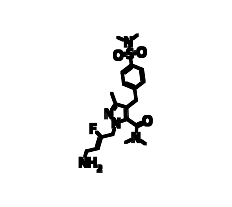 Cc1nn(C/C(F)=C/CN)c(C(=O)N(C)C)c1Cc1ccc(S(=O)(=O)N(C)C)cc1